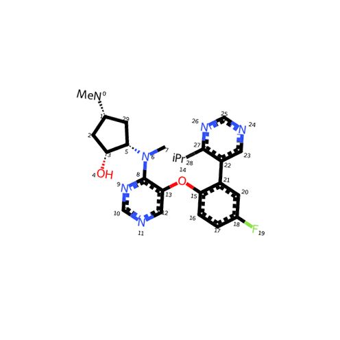 CN[C@H]1C[C@@H](O)[C@@H](N(C)c2ncncc2Oc2ccc(F)cc2-c2cncnc2C(C)C)C1